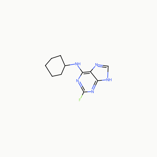 Fc1nc(NC2CCCCC2)c2nc[nH]c2n1